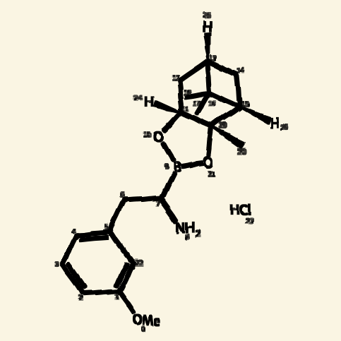 COc1cccc(CC(N)B2O[C@@H]3C[C@@H]4C[C@@H](C4(C)C)[C@]3(C)O2)c1.Cl